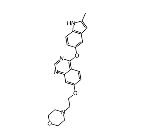 Cc1cc2cc(Oc3ncnc4cc(OCCN5CCOCC5)ccc34)ccc2[nH]1